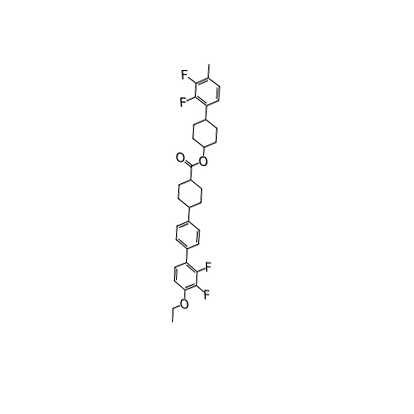 CCOc1ccc(-c2ccc(C3CCC(C(=O)OC4CCC(c5ccc(C)c(F)c5F)CC4)CC3)cc2)c(F)c1F